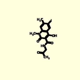 CC(=O)CNC(=O)c1c(O)c2cc(I)c(C)cc2n(C)c1=O